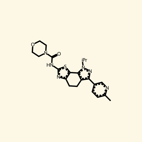 Cc1ccc(-c2nn(C(C)C)c3c2CCc2nc(NC(=O)N4CCOCC4)sc2-3)cn1